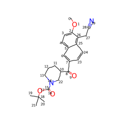 COc1ccc2cc(C(=O)C3CCCN(C(=O)OC(C)(C)C)C3)ccc2c1CC#N